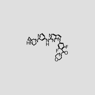 O=C(c1c(F)cc(-n2ccc3cnc(Nc4ccnc(N5CCNC6(CC6)C5)c4)nc32)cc1F)N1CCOCC1